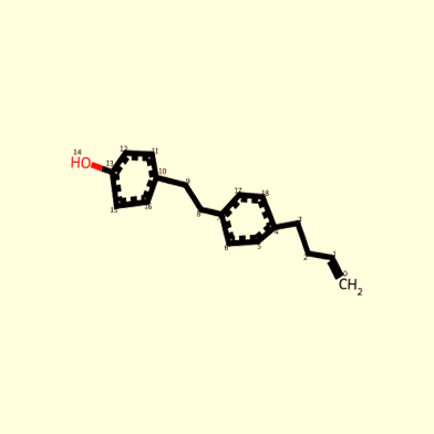 C=CCCc1ccc(CCc2ccc(O)cc2)cc1